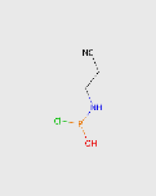 N#CCCNP(O)Cl